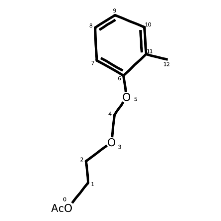 CC(=O)OCCOCOc1ccccc1C